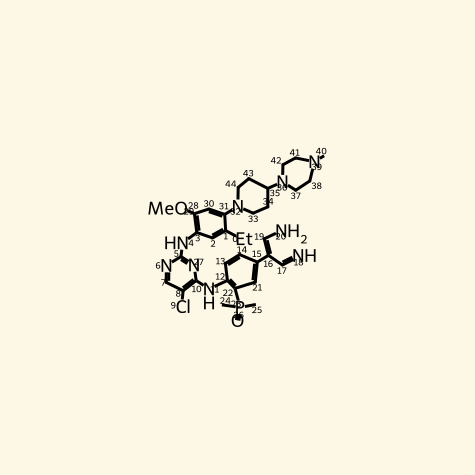 CCc1cc(Nc2ncc(Cl)c(Nc3ccc(/C(C=N)=C/N)cc3P(C)(C)=O)n2)c(OC)cc1N1CCC(N2CCN(C)CC2)CC1